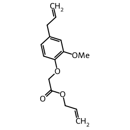 C=CCOC(=O)COc1ccc(CC=C)cc1OC